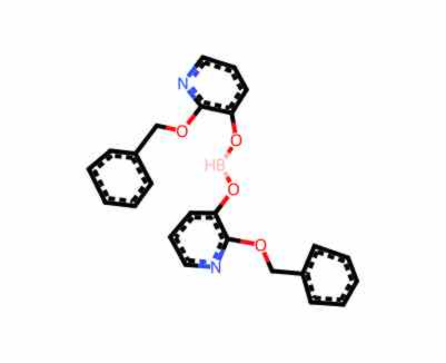 B(Oc1cccnc1OCc1ccccc1)Oc1cccnc1OCc1ccccc1